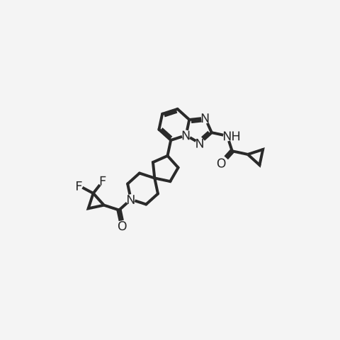 O=C(Nc1nc2cccc(C3CCC4(CCN(C(=O)C5CC5(F)F)CC4)C3)n2n1)C1CC1